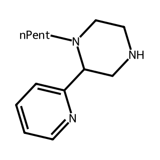 CCCCCN1CCNCC1c1ccccn1